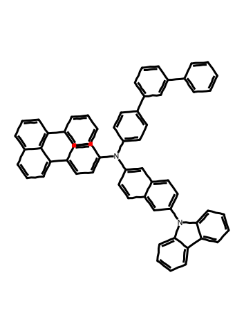 c1ccc(-c2cccc(-c3ccc(N(c4ccc(-c5cccc6cccc(-c7ccccc7)c56)cc4)c4ccc5cc(-n6c7ccccc7c7ccccc76)ccc5c4)cc3)c2)cc1